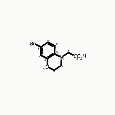 O=C(O)CN1CCOc2cc(Br)ccc21